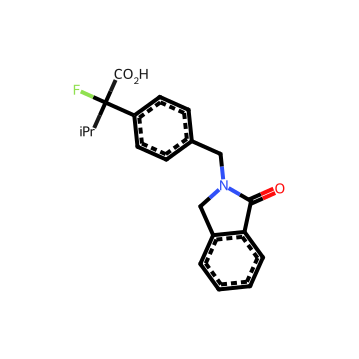 CC(C)C(F)(C(=O)O)c1ccc(CN2Cc3ccccc3C2=O)cc1